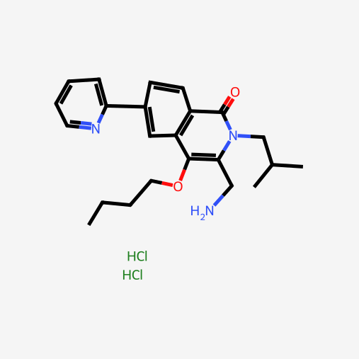 CCCCOc1c(CN)n(CC(C)C)c(=O)c2ccc(-c3ccccn3)cc12.Cl.Cl